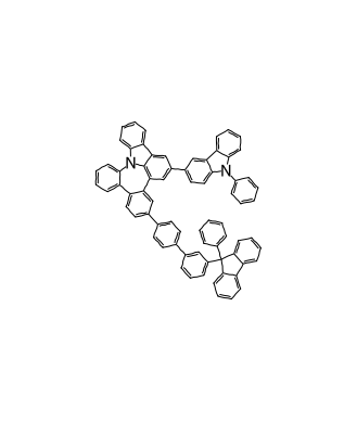 c1ccc(-n2c3ccccc3c3cc(-c4cc5c6c(c4)c4ccccc4n6-c4ccccc4-c4ccc(-c6ccc(-c7cccc(C8(c9ccccc9)c9ccccc9-c9ccccc98)c7)cc6)cc4-5)ccc32)cc1